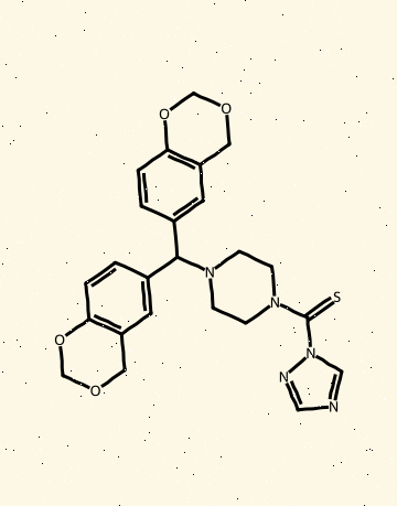 S=C(N1CCN(C(c2ccc3c(c2)COCO3)c2ccc3c(c2)COCO3)CC1)n1cncn1